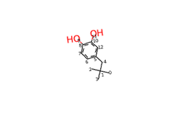 CC(C)(C)Cc1ccc(O)c(O)c1